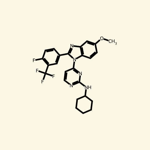 COc1ccc2c(c1)nc(-c1ccc(F)c(C(F)(F)F)c1)n2-c1ccnc(NC2CCCCC2)n1